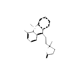 CC1=CC=CC2=C(CCC3(C)CCC(=O)O3)c3ccccc3N(C)C12